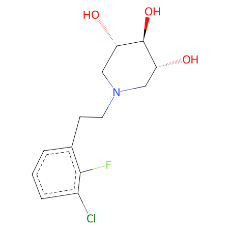 O[C@H]1[C@H](O)CN(CCc2cccc(Cl)c2F)C[C@@H]1O